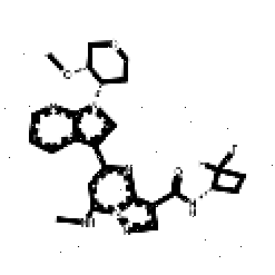 CNc1cc(-c2cn([C@H]3CCOC[C@H]3OC)c3ncccc23)nc2c(C(=O)N[C@H]3CCC3(F)F)cnn12